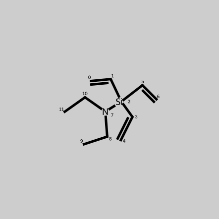 C=C[Si](C=C)(C=C)N(CC)CC